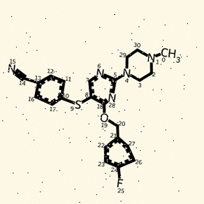 CN1CCN(c2ncc(Sc3ccc(C#N)cc3)c(OCc3ccc(F)cc3)n2)CC1